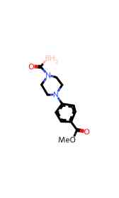 BC(=O)N1CCN(c2ccc(C(=O)OC)cc2)CC1